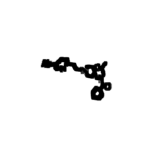 CC1CN(C(=O)c2ccccc2)CC2(CCN(CCc3ccc(C#N)cn3)CC2)O1